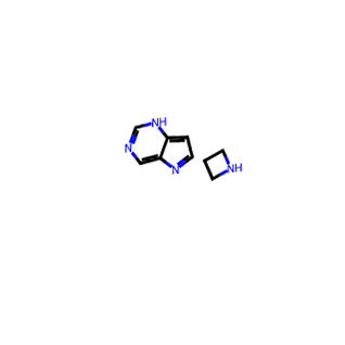 C1CNC1.c1cc2[nH]cncc-2n1